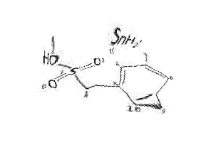 O=S(=O)(O)Cc1ccccc1.[SnH2]